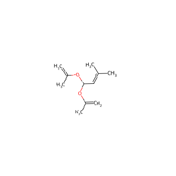 C=C(C)OC(C=C(C)C)OC(=C)C